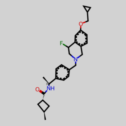 C[C@H](NC(=O)[C@H]1C[C@H](C)C1)c1ccc(CN2Cc3ccc(OCC4CC4)cc3C(F)C2)cc1